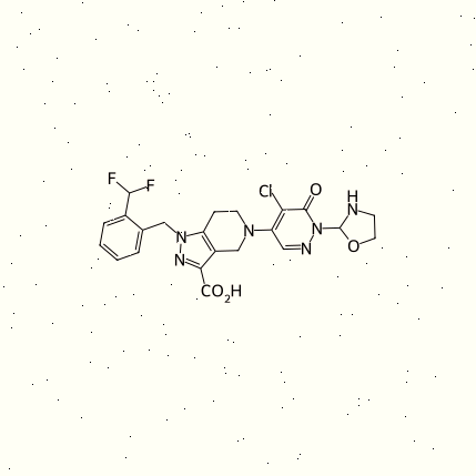 O=C(O)c1nn(Cc2ccccc2C(F)F)c2c1CN(c1cnn(C3NCCO3)c(=O)c1Cl)CC2